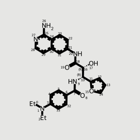 CCN(CC)c1ccc(C(=O)N[C@@H](c2ccco2)[C@@H](O)C(=O)Nc2ccc3c(N)nccc3c2)cc1